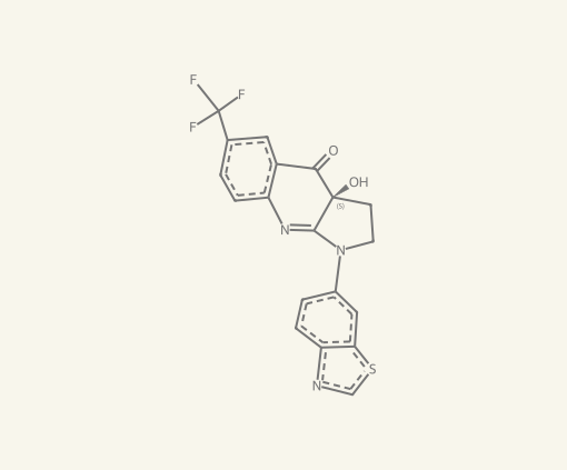 O=C1c2cc(C(F)(F)F)ccc2N=C2N(c3ccc4ncsc4c3)CC[C@@]12O